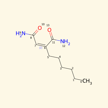 CCCCCC/C(=C/C(N)=O)C(N)=O